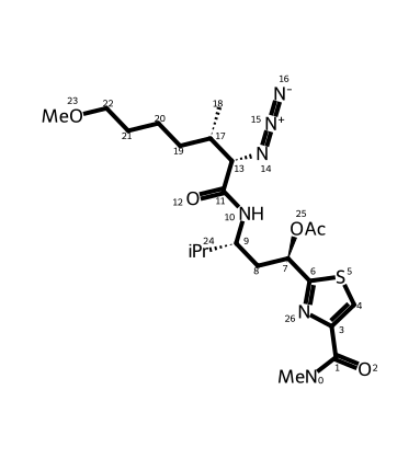 CNC(=O)c1csc([C@@H](C[C@@H](NC(=O)[C@@H](N=[N+]=[N-])[C@@H](C)CCCCOC)C(C)C)OC(C)=O)n1